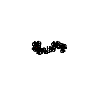 C=CC(=O)OCC(COCC(COC(=O)C=C)(COC(=O)C=C)COC(=O)NC1CCC(CC2CCC(NC(=O)OCC(COCC(COC(=O)C=C)(COC(=O)C=C)COC(=O)C=C)(COC(=O)C=C)COC(=O)C=C)CC2)CC1)(COC(=O)C=C)COC(=O)C=C